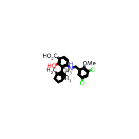 COc1c(Cl)cc(Cl)cc1CNc1ccc(C(=O)O)c(O)c1C1CC2CCC1(C)C2(C)C